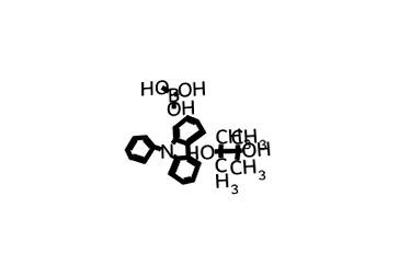 CC(C)(O)C(C)(C)O.OB(O)O.c1ccc(-n2c3ccccc3c3ccccc32)cc1